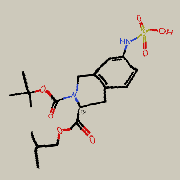 CC(C)COC(=O)[C@@H]1Cc2ccc(NS(=O)(=O)O)cc2CN1C(=O)OC(C)(C)C